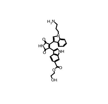 NCCCn1cc(C2=C(c3c[nH]c4cc(C(=O)OCCO)ccc34)C(=O)NC2=O)c2ccccc21